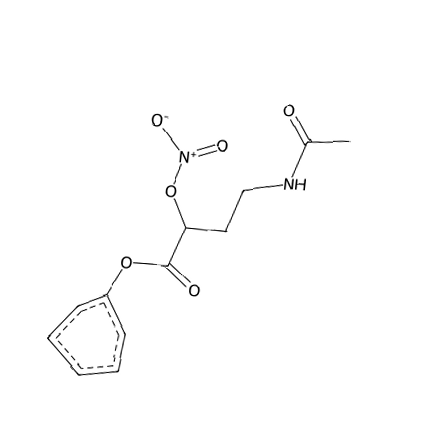 CC(=O)NCCC(O[N+](=O)[O-])C(=O)Oc1ccccc1